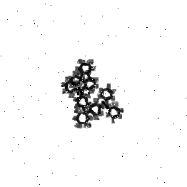 c1ccc(N(c2ccccc2)c2ccc(C3(c4ccc(N(c5ccccc5)c5cccc6c5C5(CCCC5)c5ccccc5-6)cc4)CCCCC3)cc2)cc1